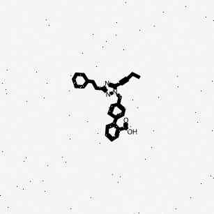 CCC#Cc1nc(CCC2CCCCC2)nn1Cc1ccc(-c2ccccc2C(=O)O)cc1